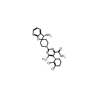 Cc1nc(N2CCC3(CC2)Oc2ncccc2[C@H]3N)nc(C(N)=O)c1[C@H]1CCCC(Cl)=C1Cl